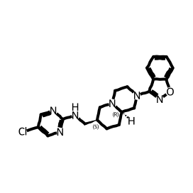 Clc1cnc(NC[C@@H]2CC[C@@H]3CN(c4noc5ccccc45)CCN3C2)nc1